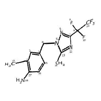 Cc1cc(Cn2nc(C(F)(F)C(F)(F)F)nc2C)ccc1N